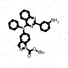 CC(C)(C)OC(=O)n1ncc2cc(N(c3ccccc3)c3nc(-c4cccc(N)c4)nc4ccccc34)ccc21